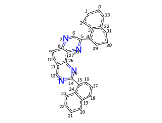 c1ccc2c(-c3cnc4ccc5cnc(-c6cccc7ccccc67)nc5c4n3)cccc2c1